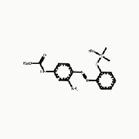 COC(=O)Nc1ccc(N=Nc2ccccc2O[Si](C)(C)C(C)(C)C)c(N)n1